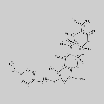 CNc1cc(CNCc2ccc(OC(F)(F)F)cc2)c(O)c2c1C[C@H]1C[C@H]3CC(O)=C(C(N)=O)C(=O)[C@@]3(O)C(O)=C1C2=O